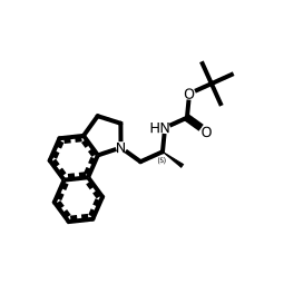 C[C@@H](CN1CCc2ccc3ccccc3c21)NC(=O)OC(C)(C)C